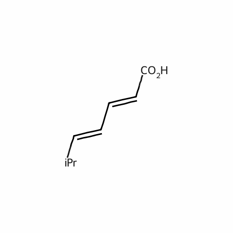 CC(C)C=CC=CC(=O)O